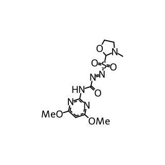 COc1cc(OC)nc(NC(=O)N=NS(=O)(=O)C2OCCN2C)n1